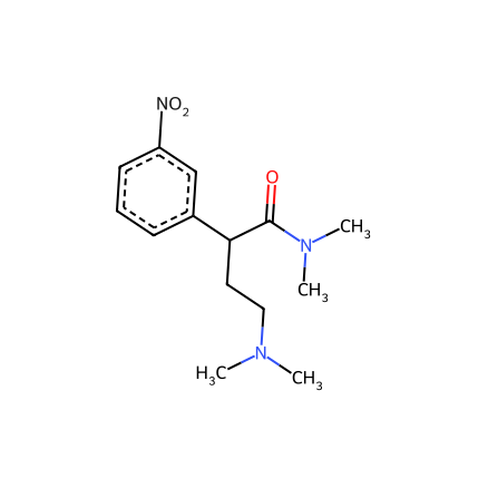 CN(C)CCC(C(=O)N(C)C)c1cccc([N+](=O)[O-])c1